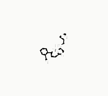 N#Cc1ccccc1-c1ccc2ncc(NC(=O)c3cscn3)n2n1